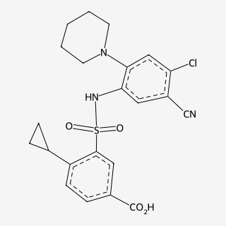 N#Cc1cc(NS(=O)(=O)c2cc(C(=O)O)ccc2C2CC2)c(N2CCCCC2)cc1Cl